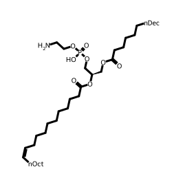 CCCCCCCC/C=C\CCCCCCCCCC(=O)O[C@H](COC(=O)CCCCCCCCCCCCCCC)COP(=O)(O)OCCN